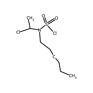 CCCCCCN(C(C)Cl)S(=O)(=O)Cl